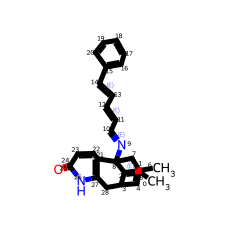 C/C=C1\C2C=C(C)CC1(/N=C/C=C/C=C/c1ccccc1)c1ccc(=O)[nH]c1C2